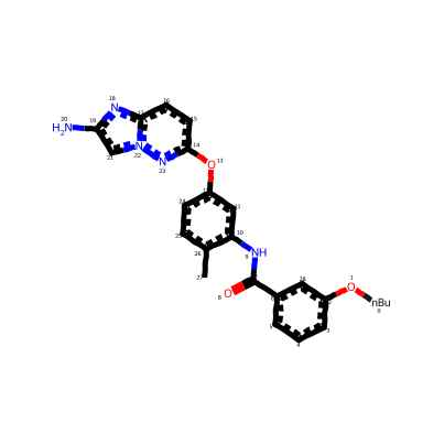 CCCCOc1cccc(C(=O)Nc2cc(Oc3ccc4nc(N)cn4n3)ccc2C)c1